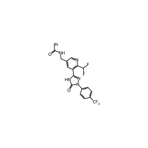 CC(C)C(=O)NCc1cnc(C(F)F)c(-c2nn(-c3ccc(C(F)(F)F)cc3)c(=O)[nH]2)c1